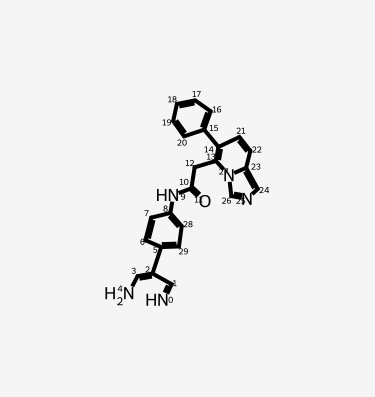 N=C/C(=C\N)c1ccc(NC(=O)Cc2c(-c3ccccc3)ccc3cncn23)cc1